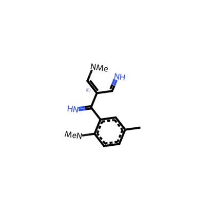 CN/C=C(\C=N)C(=N)c1cc(C)ccc1NC